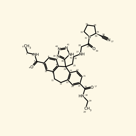 CCNC(=O)c1ccc2c(c1)CCc1cc(C(=O)NCC)ccc1C2(CCNCC(=O)N1CCC[C@H]1C#N)c1nnn[nH]1